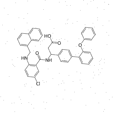 O=C(O)CC(NC(=O)c1cc(Cl)ccc1NCc1cccc2ccccc12)c1ccc(-c2ccccc2Oc2ccccc2)cc1